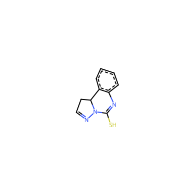 SC1=Nc2ccccc2C2CC=NN12